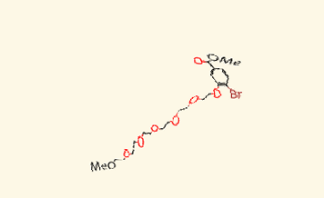 COCCOCCOCCOCCOCCOCCOc1cc(C(=O)OC)ccc1Br